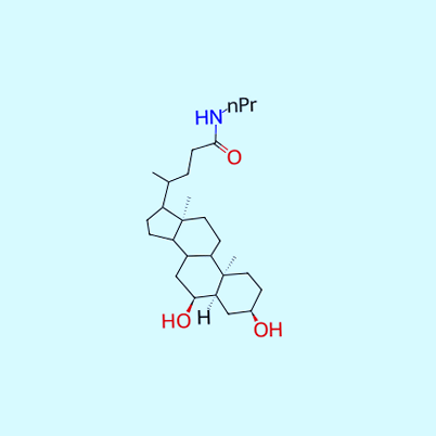 CCCNC(=O)CCC(C)C1CCC2C3C[C@H](O)[C@@H]4C[C@H](O)CC[C@]4(C)C3CC[C@]12C